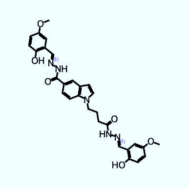 COc1ccc(O)c(/C=N/NC(=O)CCCn2ccc3cc(C(=O)N/N=C/c4cc(OC)ccc4O)ccc32)c1